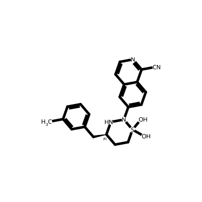 Cc1cccc(C[C@@H]2CCS(O)(O)N(c3ccc4c(C#N)nccc4c3)N2)c1